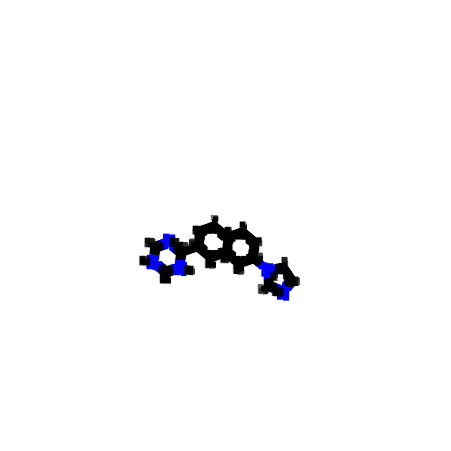 c1cn(-c2ccc3ccc(-c4ncncn4)cc3c2)cn1